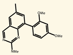 CNc1ncc2cc(C)cc(-c3ccc(OC)cc3OC)c2n1